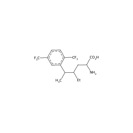 CCC(CC(N)C(=O)O)C(C)c1cc(C(F)(F)F)ccc1C(F)(F)F